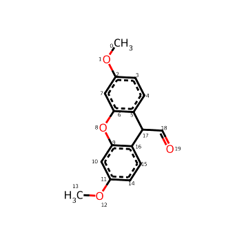 COc1ccc2c(c1)Oc1cc(OC)ccc1C2C=O